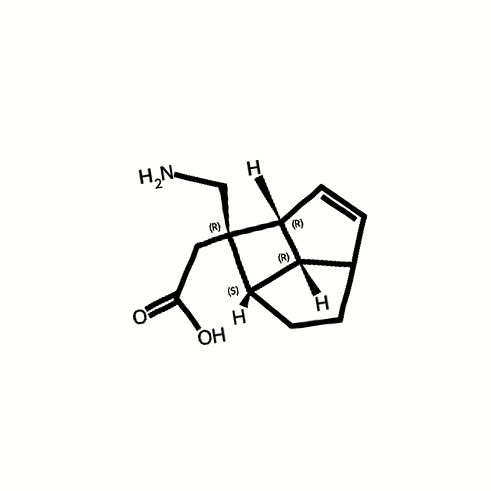 NC[C@@]1(CC(=O)O)[C@@H]2C=CC3CC[C@H]1[C@@H]32